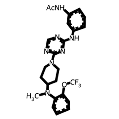 CC(=O)Nc1cccc(Nc2ncnc(N3CCC(N(C)c4ccccc4OC(F)(F)F)CC3)n2)c1